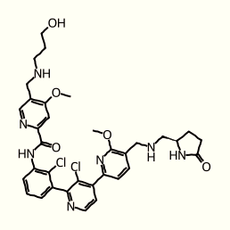 COc1cc(C(=O)Nc2cccc(-c3nccc(-c4ccc(CNC[C@H]5CCC(=O)N5)c(OC)n4)c3Cl)c2Cl)ncc1CNCCCO